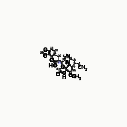 CCCCc1ncc(/C=C(\Cc2ccc3c(c2)OCO3)C(=O)O)n1-c1ccc(OC)cc1OCC(=O)O